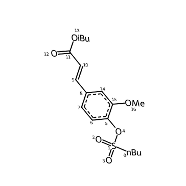 CCCCS(=O)(=O)Oc1ccc(C=CC(=O)OCC(C)C)cc1OC